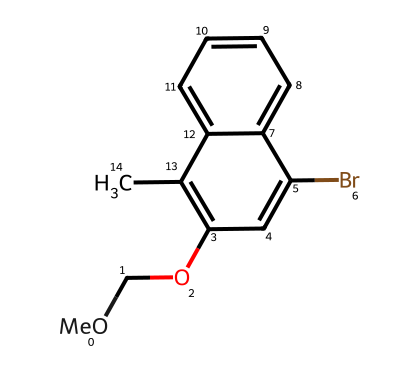 COCOc1cc(Br)c2ccccc2c1C